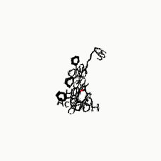 CC(=O)O[C@@]12COC1C[C@H](O)[C@@]1(C)C(=O)[C@H](C)C3=C(C)[C@@H](OC(=O)[C@H](OC(=O)CCCCC4CCSS4)[C@@H](NC(=O)c4ccccc4)c4ccccc4)C[C@@](O)([C@@H](OC(=O)c4ccccc4)[C@@H]12)C3(C)C